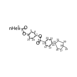 CCCCCCC(=O)Oc1ccc(OC(=O)c2ccc(C3CCC(C)CC3)cc2)cc1